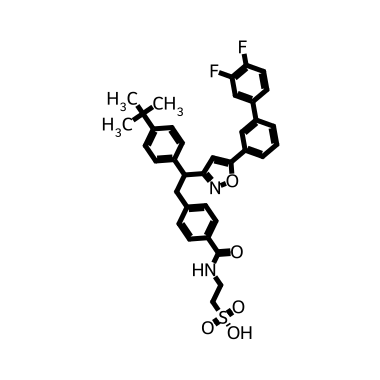 CC(C)(C)c1ccc(C(Cc2ccc(C(=O)NCCS(=O)(=O)O)cc2)c2cc(-c3cccc(-c4ccc(F)c(F)c4)c3)on2)cc1